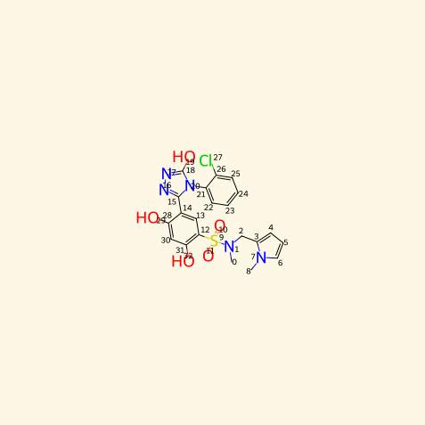 CN(Cc1cccn1C)S(=O)(=O)c1cc(-c2nnc(O)n2-c2ccccc2Cl)c(O)cc1O